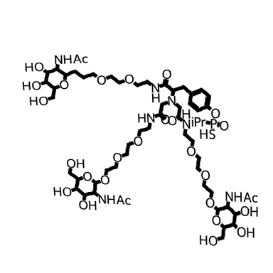 CC(=O)NC1C(CCCOCCOCCNC(=O)C(Cc2ccc(OP(=O)(S)C(C)C)cc2)N(CC(=O)NCCOCCOCCOC2OC(CO)C(O)C(O)C2NC(C)=O)CC(=O)NCCOCCOCCOC2OC(CO)C(O)C(O)C2NC(C)=O)OC(CO)C(O)C1O